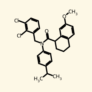 COc1ccc2c(c1)C(C(=O)N(Cc1cccc(Cl)c1Cl)c1ccc(C(C)C)cc1)CCC2